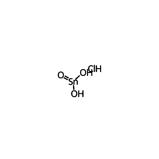 Cl.[O]=[Sn]([OH])[OH]